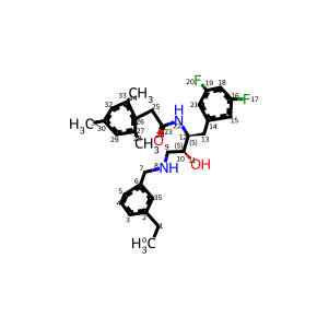 CCc1cccc(CNC[C@H](O)[C@H](Cc2cc(F)cc(F)c2)NC(=O)Cc2c(C)cc(C)cc2C)c1